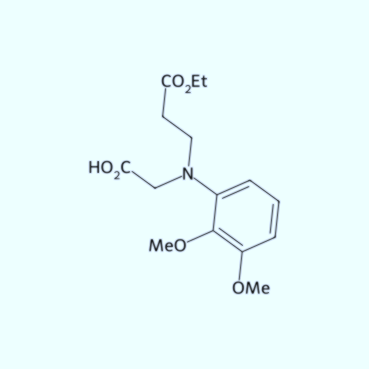 CCOC(=O)CCN(CC(=O)O)c1cccc(OC)c1OC